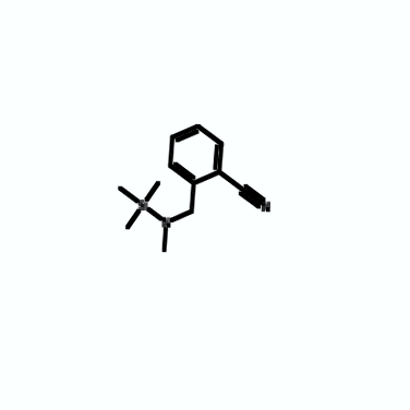 CN(Cc1ccccc1C#N)[Si](C)(C)C